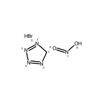 Br.C1N=NN=N1.O=NO